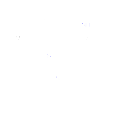 COC(=O)c1nc(N2CCCC2C)cc2c1CNC2=O